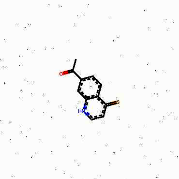 CC(=O)c1ccc2c(=S)cc[nH]c2c1